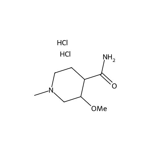 COC1CN(C)CCC1C(N)=O.Cl.Cl